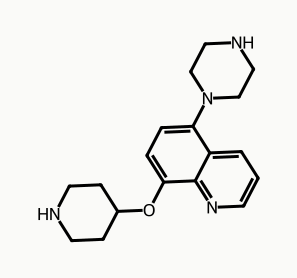 c1cnc2c(OC3CCNCC3)ccc(N3CCNCC3)c2c1